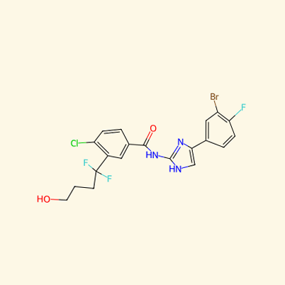 O=C(Nc1nc(-c2ccc(F)c(Br)c2)c[nH]1)c1ccc(Cl)c(C(F)(F)CCCO)c1